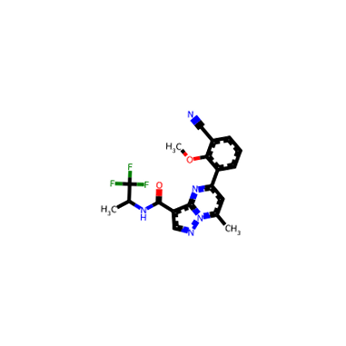 COc1c(C#N)cccc1-c1cc(C)n2ncc(C(=O)NC(C)C(F)(F)F)c2n1